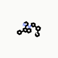 c1ccc(-c2cccc(-c3cccc(N4c5cccnc5-c5cc(-c6ccccc6)cc6cccc4c56)c3)c2)cc1